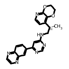 C[C@H](CNc1cc(-c2ccc3nccnc3c2)ncn1)c1ccnc2c1OCCO2